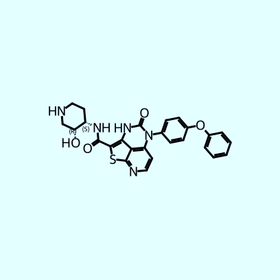 O=C(N[C@H]1CCNC[C@H]1O)c1sc2nccc3c2c1NC(=O)N3c1ccc(Oc2ccccc2)cc1